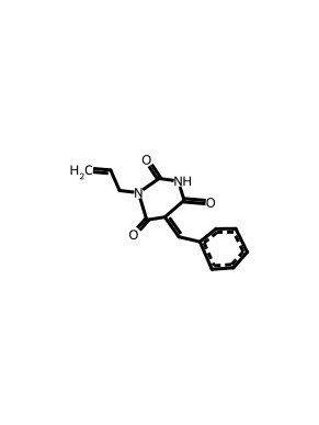 C=CCN1C(=O)NC(=O)/C(=C\c2ccccc2)C1=O